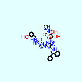 CCNC(=O)[C@H]1O[C@@H](n2cnc3c(NCC(c4ccccc4)c4ccccc4)nc(-n4cnc(NC(=O)NCc5cccc(O)c5)n4)nc32)[C@H](O)[C@@H]1O